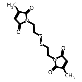 CC1=CC(=O)N(CCSSCCN2C(=O)C=C(C)C2=O)C1=O